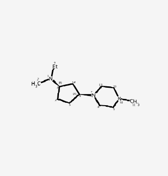 CCN(C)[C@@H]1CC[C@H](N2CCN(C)CC2)C1